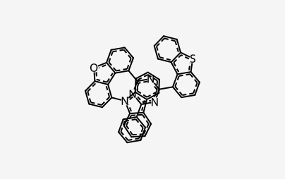 c1ccc(-c2nc(-c3cccc4sc5ccccc5c34)nc(-c3cccc4oc5cccc(-n6c7ccccc7c7ccccc76)c5c34)n2)cc1